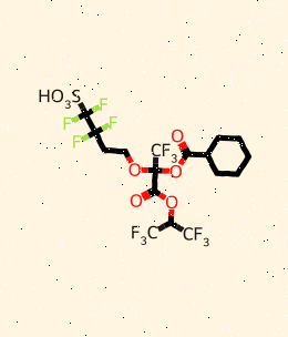 O=C(OC(OCCC(F)(F)C(F)(F)S(=O)(=O)O)(C(=O)OC(C(F)(F)F)C(F)(F)F)C(F)(F)F)C1CCCCC1